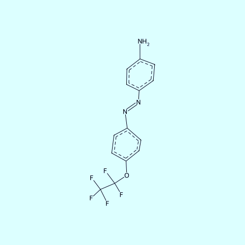 Nc1ccc(/N=N/c2ccc(OC(F)(F)C(F)(F)F)cc2)cc1